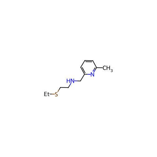 CCSCCNCc1cccc(C)n1